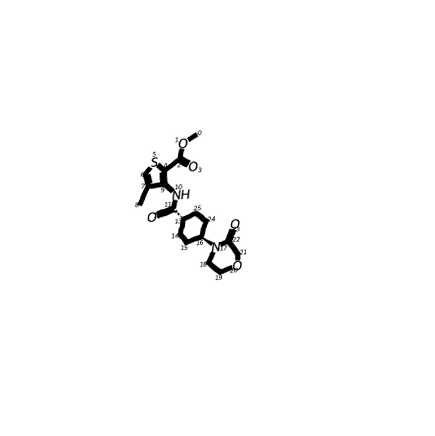 COC(=O)c1scc(C)c1NC(=O)[C@H]1CC[C@H](N2CCOCC2=O)CC1